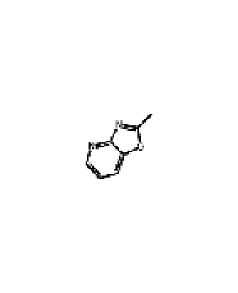 Cc1nc2ncccc2o1